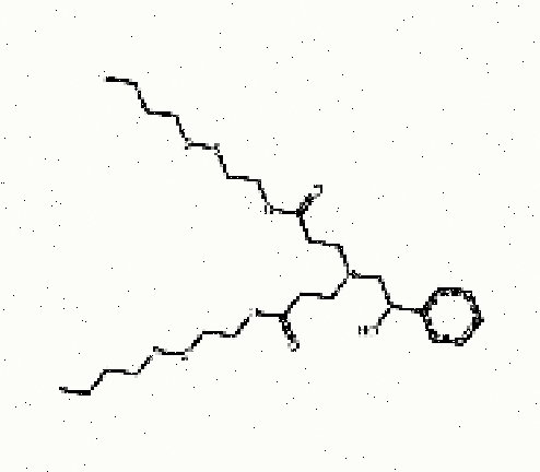 CCCCSSCCOC(=O)CCN(CCC(=O)OCCSSCCCC)CC(O)c1ccccc1